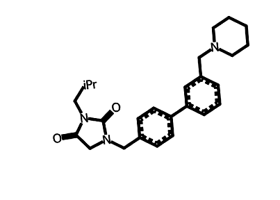 CC(C)CN1C(=O)CN(Cc2ccc(-c3cccc(CN4CCCCC4)c3)cc2)C1=O